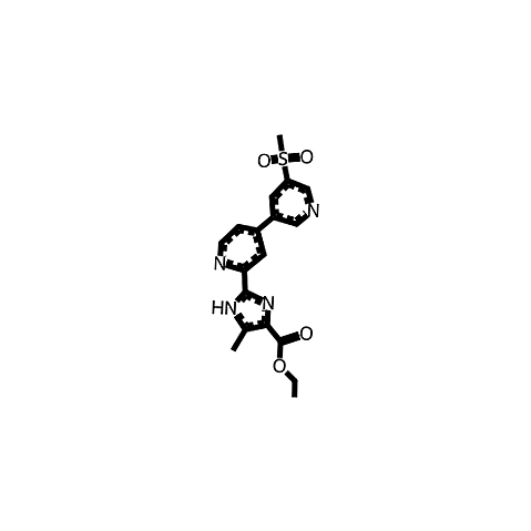 CCOC(=O)c1nc(-c2cc(-c3cncc(S(C)(=O)=O)c3)ccn2)[nH]c1C